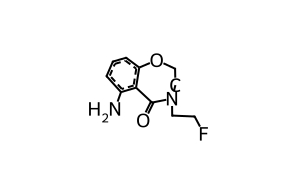 Nc1cccc2c1C(=O)N(CCF)CCO2